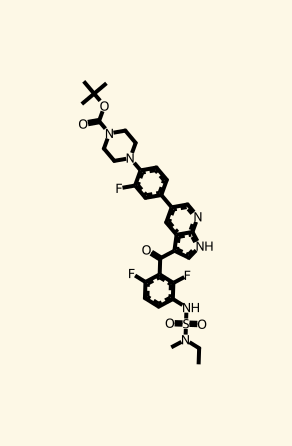 CCN(C)S(=O)(=O)Nc1ccc(F)c(C(=O)c2c[nH]c3ncc(-c4ccc(N5CCN(C(=O)OC(C)(C)C)CC5)c(F)c4)cc23)c1F